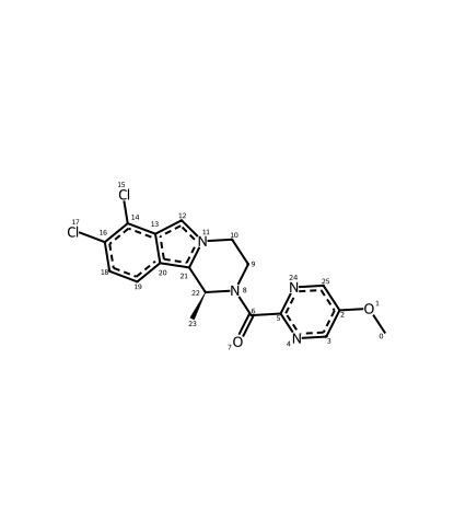 COc1cnc(C(=O)N2CCn3cc4c(Cl)c(Cl)ccc4c3[C@@H]2C)nc1